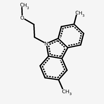 COCCn1c2ccc(C)cc2c2ccc(C)cc21